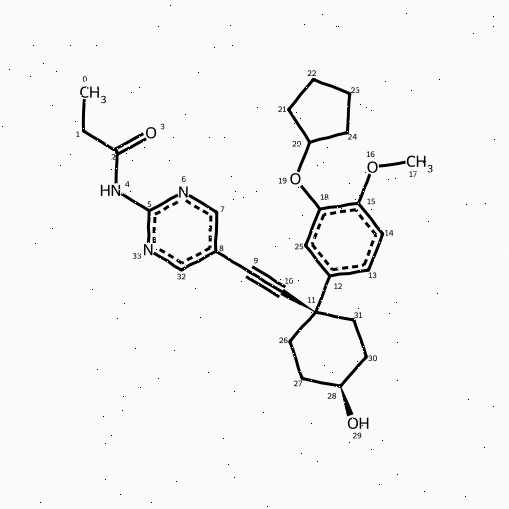 CCC(=O)Nc1ncc(C#C[C@]2(c3ccc(OC)c(OC4CCCC4)c3)CC[C@H](O)CC2)cn1